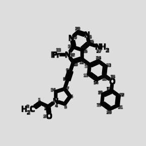 C=CC(=O)N1CCC(C#Cc2c(-c3ccc(Oc4ccccc4)cc3)c3c(N)ncnc3n2C(C)C)C1